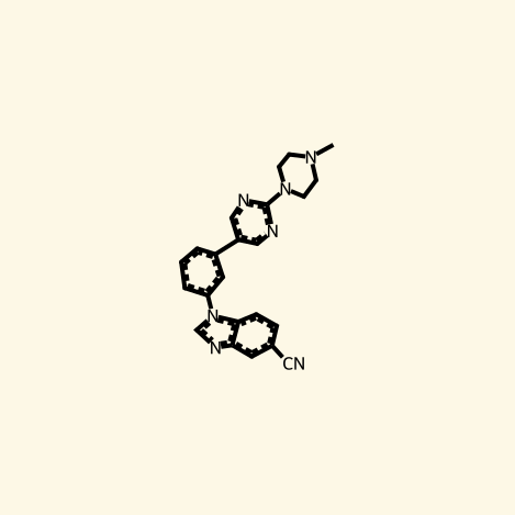 CN1CCN(c2ncc(-c3cccc(-n4cnc5cc(C#N)ccc54)c3)cn2)CC1